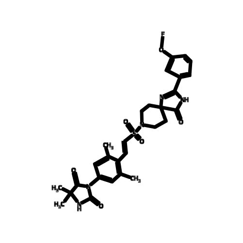 Cc1cc(N2C(=O)NC(C)(C)C2=O)cc(C)c1/C=C/S(=O)(=O)N1CCC2(CC1)N=C(c1cccc(OF)c1)NC2=O